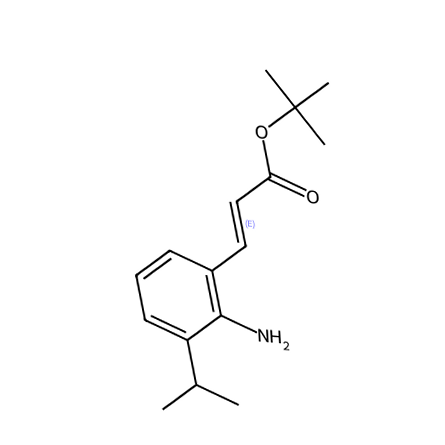 CC(C)c1cccc(/C=C/C(=O)OC(C)(C)C)c1N